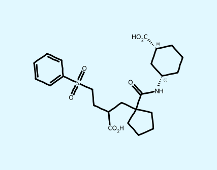 O=C(O)C(CCS(=O)(=O)c1ccccc1)CC1(C(=O)N[C@H]2CCC[C@@H](C(=O)O)C2)CCCC1